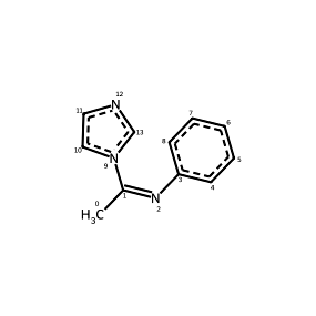 CC(=Nc1ccccc1)n1ccnc1